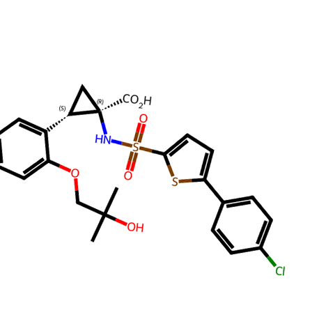 CC(C)(O)COc1ccccc1[C@@H]1C[C@]1(NS(=O)(=O)c1ccc(-c2ccc(Cl)cc2)s1)C(=O)O